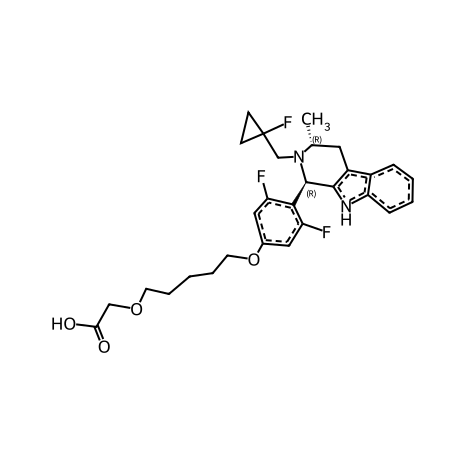 C[C@@H]1Cc2c([nH]c3ccccc23)[C@@H](c2c(F)cc(OCCCCCOCC(=O)O)cc2F)N1CC1(F)CC1